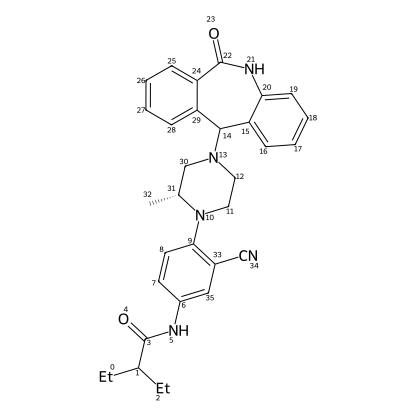 CCC(CC)C(=O)Nc1ccc(N2CCN(C3c4ccccc4NC(=O)c4ccccc43)C[C@H]2C)c(C#N)c1